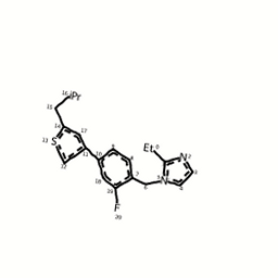 CCc1nccn1Cc1ccc(-c2csc(CC(C)C)c2)cc1F